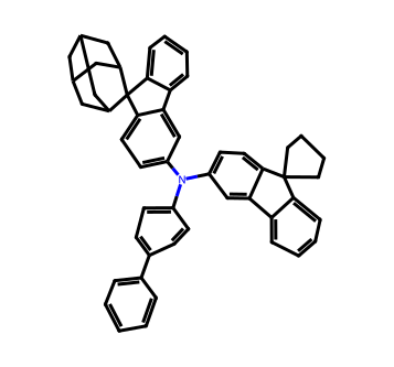 c1ccc(-c2ccc(N(c3ccc4c(c3)-c3ccccc3C43CCCC3)c3ccc4c(c3)-c3ccccc3C43C4CC5CC(C4)CC3C5)cc2)cc1